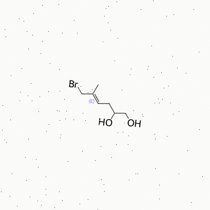 C/C(=C\CC(O)CO)CBr